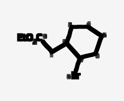 CCOC(=O)CC1CCCCC1Br